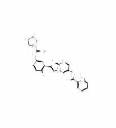 O=C(Nc1cnc2nc(-c3cc(NC(=O)N4CCCC4)ccc3F)cn2c1)c1ccccn1